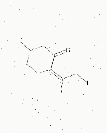 CC(CI)=C1CCC(C)CC1=O